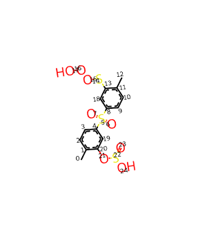 Cc1ccc(S(=O)(=O)c2ccc(C)c(SOOO)c2)cc1OS(=O)O